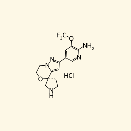 Cl.Nc1ncc(-c2cc3n(n2)CCO[C@@]32CCNC2)cc1OC(F)(F)F